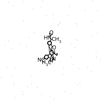 CC(NC1COC1)c1ccc2c(c1)C(=O)N(c1cc(-c3ccc(C#N)cc3-c3nncn3C)cc(C3CC3)n1)C2